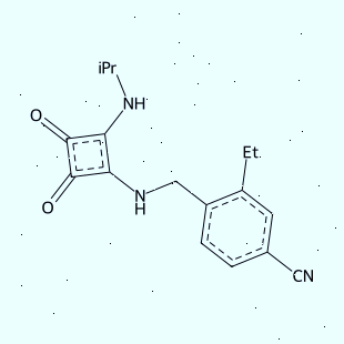 CCc1cc(C#N)ccc1CNc1c(NC(C)C)c(=O)c1=O